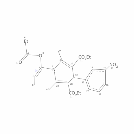 C/C=C(/OC(=O)CC)N1C(C)=C(C(=O)OCC)C(c2cccc([N+](=O)[O-])c2)C(C(=O)OCC)=C1C